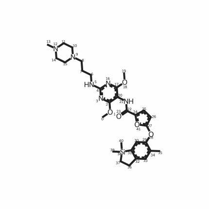 COc1nc(NCCCN2CCN(C)CC2)nc(OC)c1NC(=O)c1ccc(Oc2cc3c(cc2C)CC[Si]3(C)C)o1